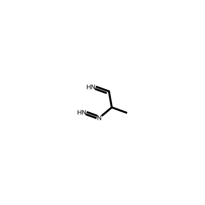 CC(C=N)N=N